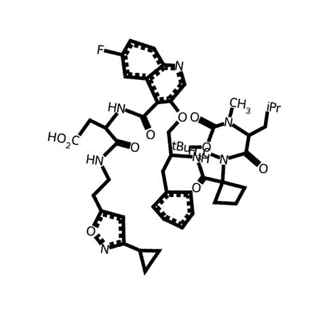 CC(C)CC(C(=O)N(C)C1(C(=O)NC(COc2cnc3ccc(F)cc3c2C(=O)NC(CC(=O)O)C(=O)NCCc2cc(C3CC3)no2)Cc2ccccc2)CCC1)N(C)C(=O)OC(C)(C)C